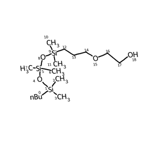 CCCC[Si](C)(C)O[Si](C)(C)O[Si](C)(C)CCCOCCO